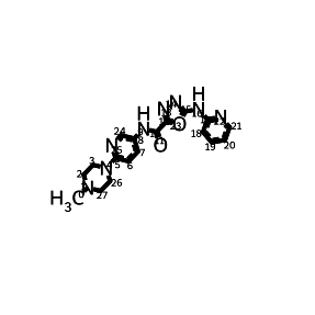 CN1CCN(c2ccc(NC(=O)c3nnc(Nc4ccccn4)o3)cn2)CC1